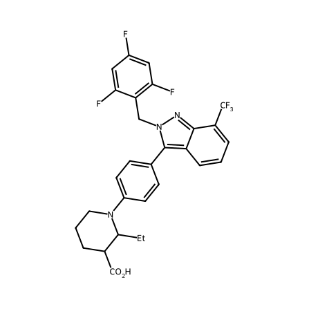 CCC1C(C(=O)O)CCCN1c1ccc(-c2c3cccc(C(F)(F)F)c3nn2Cc2c(F)cc(F)cc2F)cc1